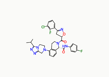 CC(C)c1nnc2n1CCN(c1cccc3c1CCN(C(=O)C1CC(c4cccc(Cl)c4F)=NO1)[C@@H]3C(=O)Nc1ccc(F)cc1)C2